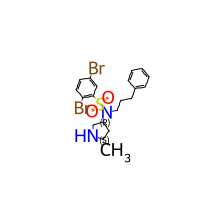 C[C@H]1C[C@@H](N(CCCc2ccccc2)S(=O)(=O)c2cc(Br)ccc2Br)CN1